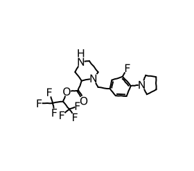 O=C(OC(C(F)(F)F)C(F)(F)F)C1CNCCN1Cc1ccc(N2CCCC2)c(F)c1